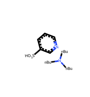 CCCCN(CCCC)CCCC.O=S(=O)(O)c1cccnc1